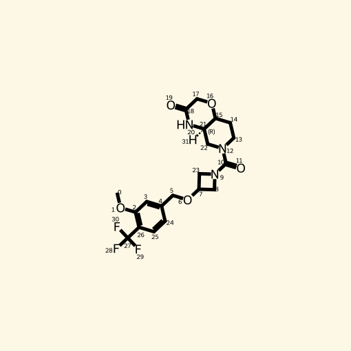 COc1cc(COC2CN(C(=O)N3CCC4OCC(=O)N[C@@H]4C3)C2)ccc1C(F)(F)F